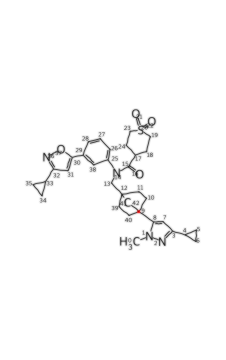 Cn1nc(C2CC2)cc1C12CCC(CN(C(=O)C3CCS(=O)(=O)CC3)c3cccc(-c4cc(C5CC5)no4)c3)(CC1)CC2